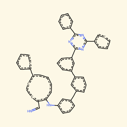 N=Cc1cccc(-c2ccccc2)ccccc1Nc1cccc(-c2cccc(-c3cccc(-c4nc(-c5ccccc5)nc(-c5ccccc5)n4)c3)c2)c1